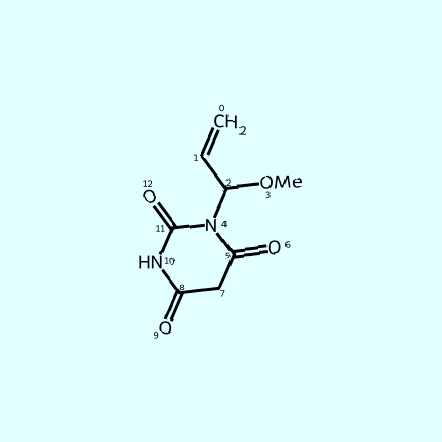 C=CC(OC)N1C(=O)CC(=O)NC1=O